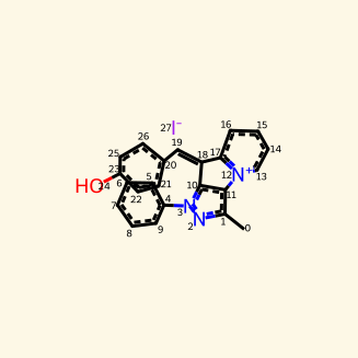 Cc1nn(-c2ccccc2)c2c1-[n+]1ccccc1/C2=C/c1ccc(O)cc1.[I-]